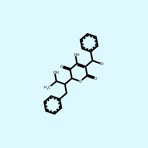 CCC(C1=C(O)C(=O)C(C(Cc2ccccc2)C(C)O)OC1=O)c1ccccc1